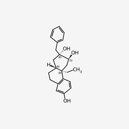 CC[C@@]12C[C@H](O)[C@](O)(Cc3ccccc3)C[C@H]1CCc1cc(O)ccc12